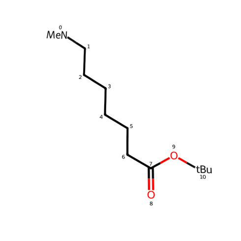 CNCCCCCCC(=O)OC(C)(C)C